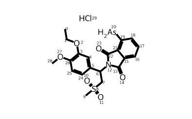 CCOc1cc(C(CS(C)(=O)=O)N2C(=O)c3cccc([AsH2])c3C2=O)ccc1OC.Cl